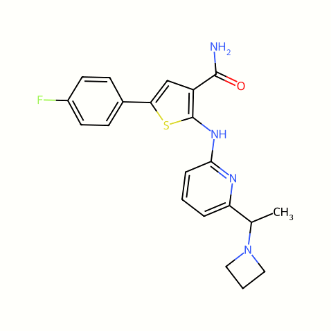 CC(c1cccc(Nc2sc(-c3ccc(F)cc3)cc2C(N)=O)n1)N1CCC1